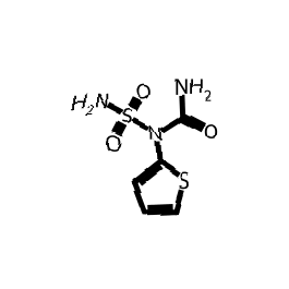 NC(=O)N(c1cccs1)S(N)(=O)=O